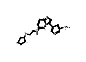 COc1cncc(-c2cnc3ccc(NCCOC4CCCC4)nn23)c1